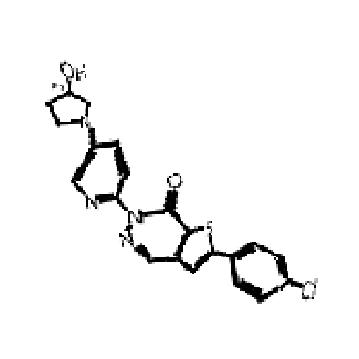 O=c1c2sc(-c3ccc(Cl)cc3)cc2cnn1-c1ccc(N2CC[C@@H](O)C2)cn1